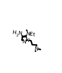 CCN(C)c1c(N)cnn1CCCN(C)C